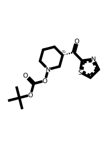 CC(C)(C)OC(=O)ON1CCC[C@H](C(=O)c2nccs2)C1